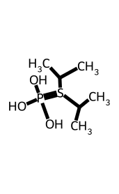 CC(C)S(C(C)C)=P(O)(O)O